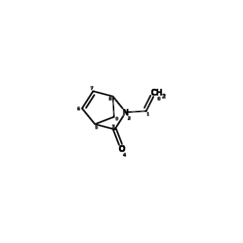 C=CN1C(=O)C2C=CC1C2